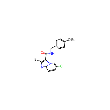 CCc1nc2ccc(Cl)cn2c1C(=O)NCc1ccc(OCC(C)C)cc1